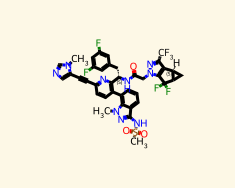 Cn1cncc1C#Cc1ccc(-c2cccc3c(NS(C)(=O)=O)nn(C)c23)c([C@H](Cc2cc(F)cc(F)c2)NC(=O)Cn2nc(C(F)(F)F)c3c2C(F)(F)C2C[C@H]32)n1